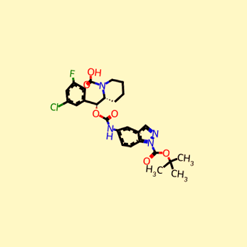 CC(C)(C)OC(=O)n1ncc2cc(NC(=O)O[C@H](c3cc(F)cc(Cl)c3)[C@H]3CCCCN3C(=O)O)ccc21